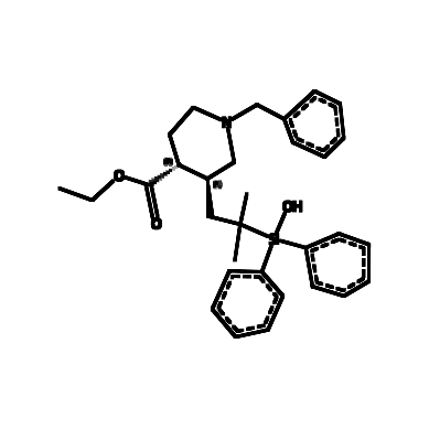 CCOC(=O)[C@@H]1CCN(Cc2ccccc2)C[C@H]1CC(C)(C)[Si](O)(c1ccccc1)c1ccccc1